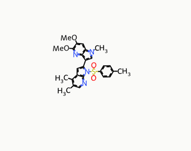 COc1cc2c(nc1OC)c(-c1cc3c(C)c(C)cnc3n1S(=O)(=O)c1ccc(C)cc1)cn2C